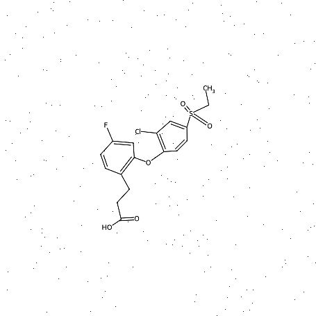 CCS(=O)(=O)c1ccc(Oc2cc(F)ccc2CCC(=O)O)c(Cl)c1